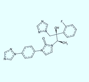 C[C@@H](n1ccn(-c2ccc(-n3cncn3)cc2)c1=O)[C@](O)(Cn1cncn1)c1ccccc1F